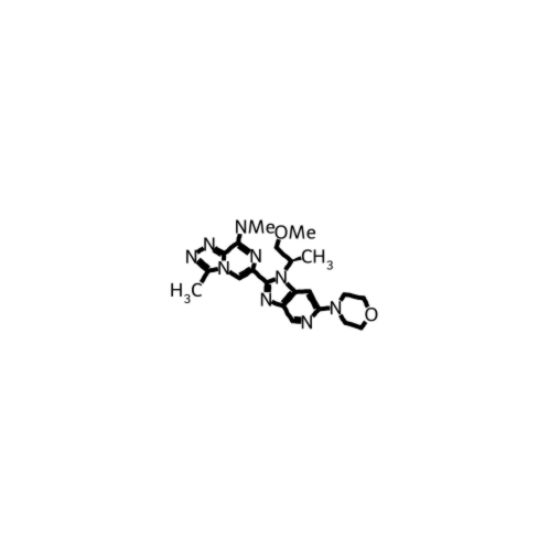 CNc1nc(-c2nc3cnc(N4CCOCC4)cc3n2[C@H](C)COC)cn2c(C)nnc12